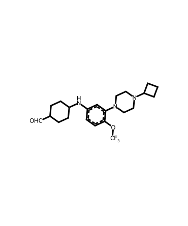 O=CC1CCC(Nc2ccc(OC(F)(F)F)c(N3CCN(C4CCC4)CC3)c2)CC1